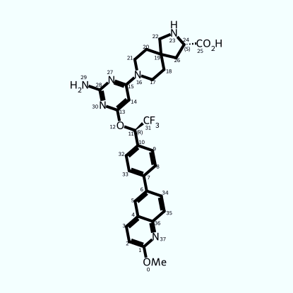 COc1ccc2cc(-c3ccc([C@@H](Oc4cc(N5CCC6(CC5)CN[C@H](C(=O)O)C6)nc(N)n4)C(F)(F)F)cc3)ccc2n1